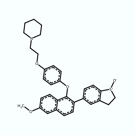 COc1ccc2c(Oc3ccc(OCCN4CCCCC4)cc3)c(-c3ccc4c(c3)CC[S+]4[O-])ccc2c1